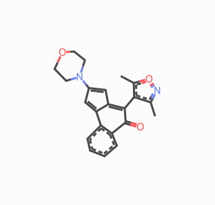 Cc1noc(C)c1C1=C2C=C(N3CCOCC3)C=C2c2ccccc2C1=O